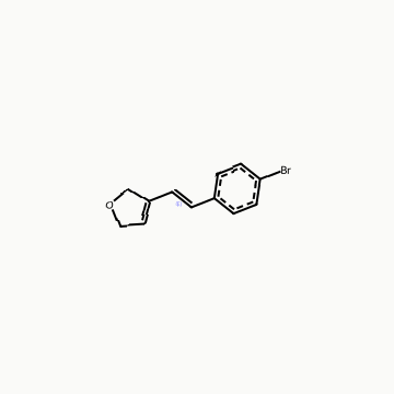 Brc1ccc(/C=C/C2=CCOC2)cc1